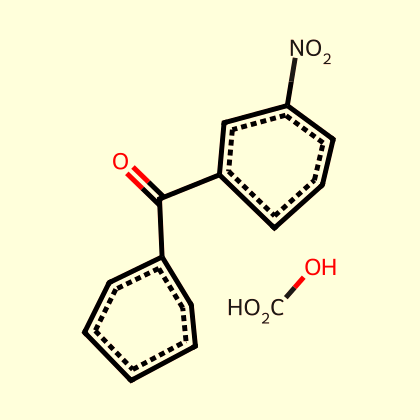 O=C(O)O.O=C(c1ccccc1)c1cccc([N+](=O)[O-])c1